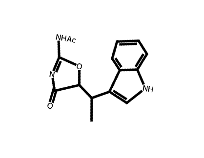 CC(=O)NC1=NC(=O)C(C(C)c2c[nH]c3ccccc23)O1